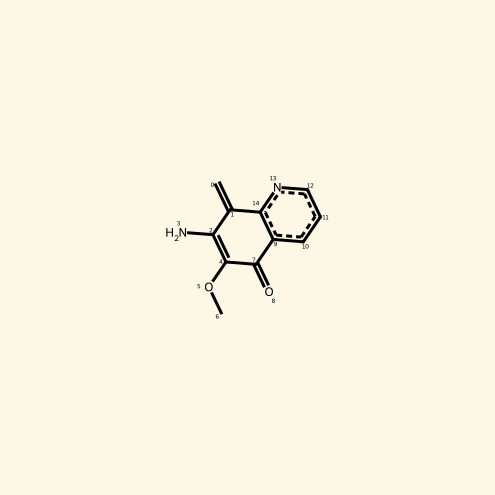 C=C1C(N)=C(OC)C(=O)c2cccnc21